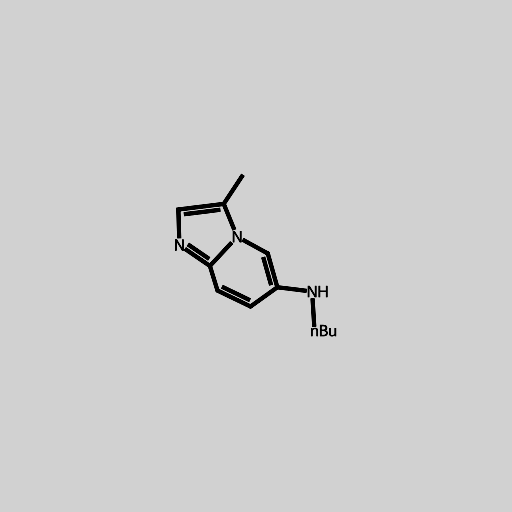 CCCCNc1ccc2ncc(C)n2c1